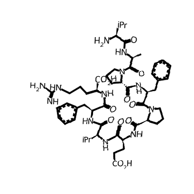 CC(C)[C@H](N)C(=O)N[C@@H](C)C(=O)N1CCC[C@H]1C(=O)N[C@@H](Cc1ccccc1)C(=O)N1CCC[C@H]1C(=O)N[C@@H](CCC(=O)O)C(=O)N[C@H](C(=O)N[C@@H](Cc1ccccc1)C(=O)N[C@@H](CCCNC(=N)N)C(=O)O)C(C)C